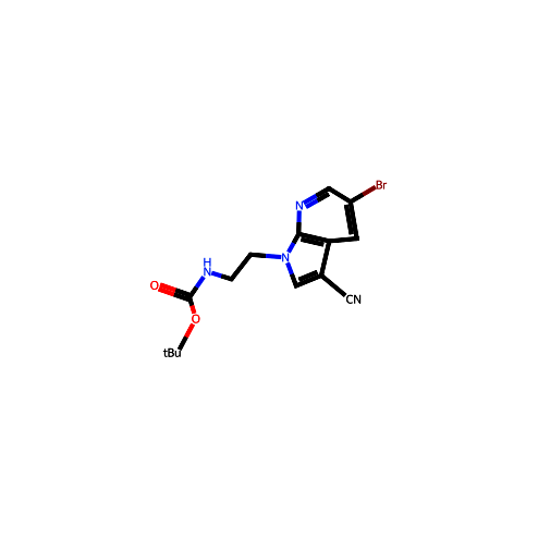 CC(C)(C)OC(=O)NCCn1cc(C#N)c2cc(Br)cnc21